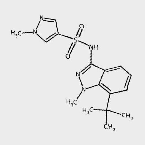 Cn1cc(S(=O)(=O)Nc2nn(C)c3c(C(C)(C)C)cccc23)cn1